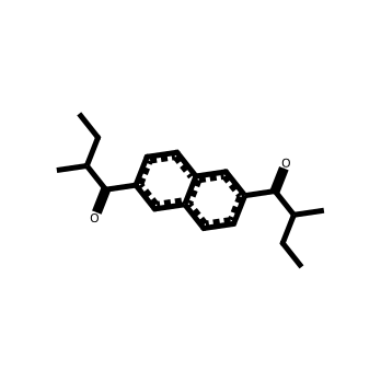 CCC(C)C(=O)c1ccc2cc(C(=O)C(C)CC)ccc2c1